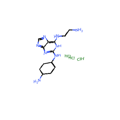 Cl.Cl.Cl.NCCNc1[nH]c(NC2CCC(N)CC2)nc2ncnc1-2